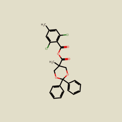 Cc1cc(Cl)c(C(=O)OC(=O)C2(C)COC(c3ccccc3)(c3ccccc3)OC2)c(Cl)c1